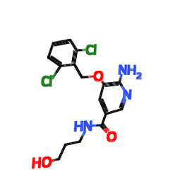 Nc1ncc(C(=O)NCCCO)cc1OCc1c(Cl)cccc1Cl